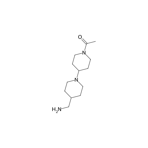 CC(=O)N1CCC(N2CCC(CN)CC2)CC1